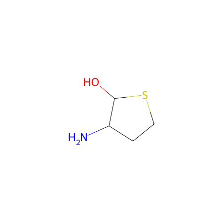 NC1CCSC1O